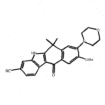 COc1cc2c(cc1N1CCOCC1)C(C)(C)c1[nH]c3cc(C#N)ccc3c1C2=O